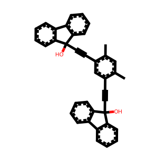 Cc1cc(C)c(C#CC2(O)c3ccccc3-c3ccccc32)cc1C#CC1(O)c2ccccc2-c2ccccc21